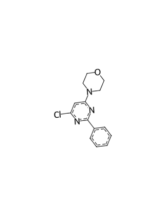 Clc1cc(N2CCOCC2)nc(-c2ccccc2)n1